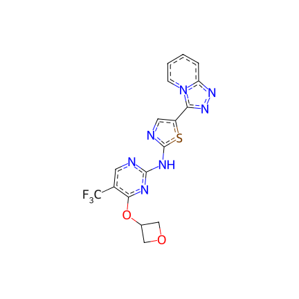 FC(F)(F)c1cnc(Nc2ncc(-c3nnc4ccccn34)s2)nc1OC1COC1